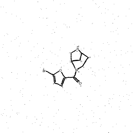 O=C(c1ccc(Br)o1)N1CCC2CC1CN2